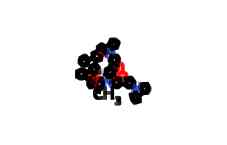 Cc1cc2c3c(c1)-n1c4ccc5c6cc(-n7c8ccccc8c8ccccc87)ccc6oc5c4c4c5oc6ccc(-n7c8ccccc8c8ccccc87)cc6c5cc(c41)B3c1cc(-c3ccccc3-c3ccccc3)cc(-c3ccccc3-c3ccccc3)c1O2